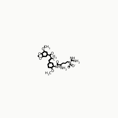 COc1ccc(C=C(C)C(=O)c2cc(OC)c3c(c2)OCO3)cc1NC(=O)C(N)CCCN(C(=N)N)[N+](=O)[O-]